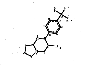 CC1CN2CCCC2OC1c1ccc(C(F)(F)F)cc1